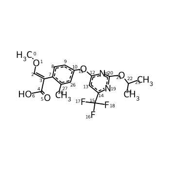 CO/C=C(/C(=O)O)c1ccc(Oc2cc(C(F)(F)F)nc(OC(C)C)n2)cc1C